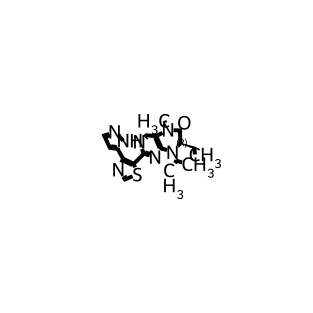 CC[C@@H]1C(=O)N(C)c2cnc(-c3scnc3-c3ccn[nH]3)nc2N1C(C)C